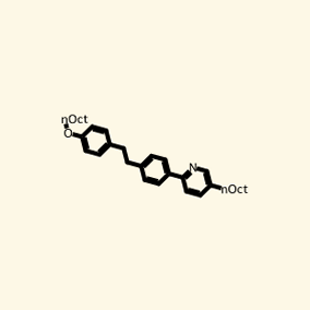 CCCCCCCCOc1ccc(CCc2ccc(-c3ccc(CCCCCCCC)cn3)cc2)cc1